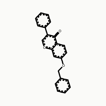 O=c1c(-c2ccccc2)coc2cc(OCc3ccccc3)ccc12